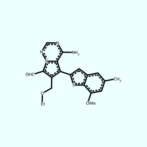 CCOCc1c(-c2cc3cc(C)cc(OC)c3s2)c2c(N)ncnn2c1C=O